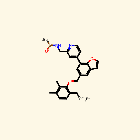 CCOC(=O)Cc1ccc(C)c(C)c1OCc1cc(-c2ccnc(CN[S+]([O-])C(C)(C)C)c2)c2occc2c1